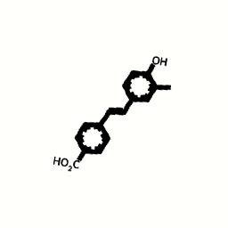 Cc1cc(C=Cc2ccc(C(=O)O)cc2)ccc1O